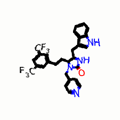 O=C1NC(Cc2c[nH]c3ccccc23)C(CCc2cc(C(F)(F)F)cc(C(F)(F)F)c2)N1Cc1ccncc1